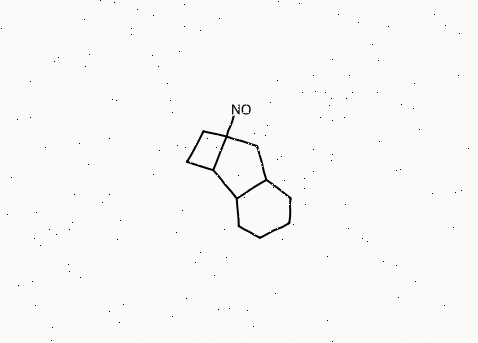 O=NC12CCC1C1CCCCC1C2